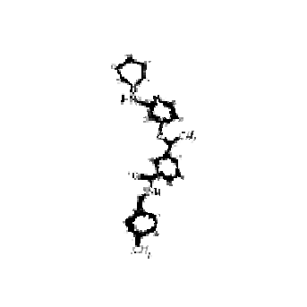 Cc1ccc(CNC(=O)c2cccc(C(C)Oc3ccnc(NN4CCCCC4)c3)c2)cc1